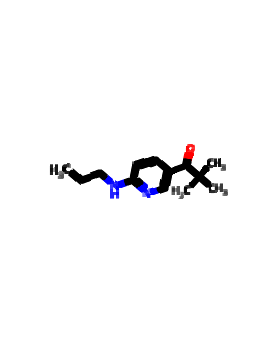 CCCNc1ccc(C(=O)C(C)(C)C)cn1